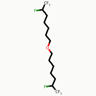 FC(CCCCCOCCCCCC(F)C(F)(F)F)C(F)(F)F